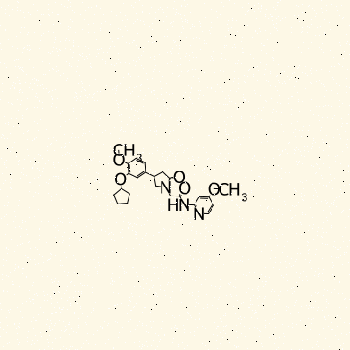 COc1ccnc(NC(=O)CN2CC(c3ccc(OC)c(OC4CCCC4)c3)CC2=O)c1